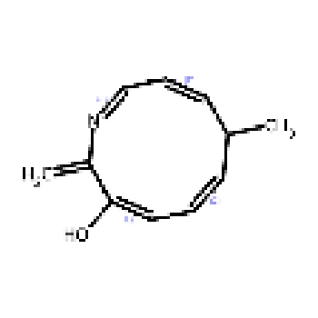 C=C1/N=C\C=C/C(C)/C=C\C=C/1O